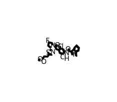 COC(=O)CCc1cnc([C@@H]2C[C@H](F)CN2C(=O)Cc2cc(Cl)c(NC(=O)c3cn(C)c4ccccc34)cc2Cl)s1